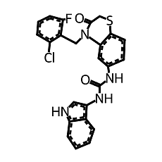 O=C(Nc1ccc2c(c1)N(Cc1c(F)cccc1Cl)C(=O)CS2)Nc1c[nH]c2ccccc12